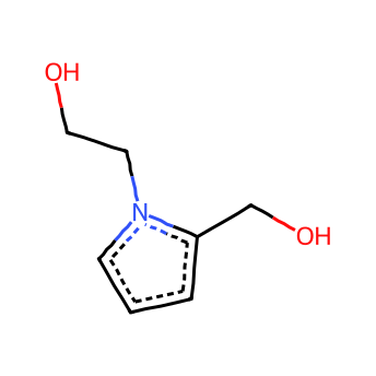 OCCn1cccc1CO